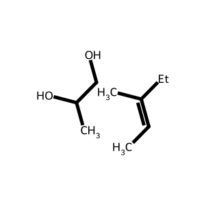 CC(O)CO.CC=C(C)CC